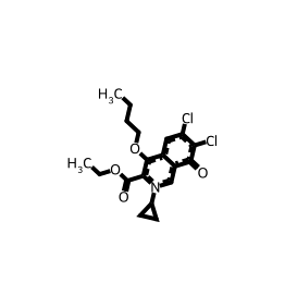 CCCCOc1c2cc(Cl)c(Cl)c(=O)c-2cn(C2CC2)c1C(=O)OCC